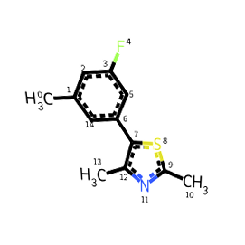 Cc1cc(F)cc(-c2sc(C)nc2C)c1